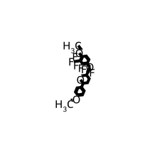 CCOc1ccc(C2CCC(C(F)(F)Oc3ccc(OCC)c(C(F)(F)F)c3F)CO2)cc1